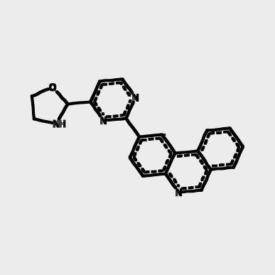 [c]1c(-c2nccc(C3NCCO3)n2)ccc2ncc3ccccc3c12